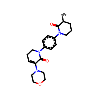 CCCC1CCCN(c2ccc(N3CCC=C(N4CCOCC4)C3=O)cc2)C1=O